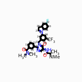 CNC(C)C(=O)Nc1cnc(-c2cccc(C(=O)N(C)C)c2)n(Cc2cc(N3CCc4cc(F)ccc43)cc(C(F)(F)F)c2)c1=O